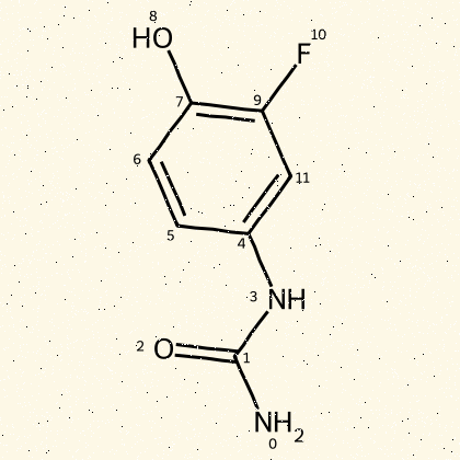 NC(=O)Nc1ccc(O)c(F)c1